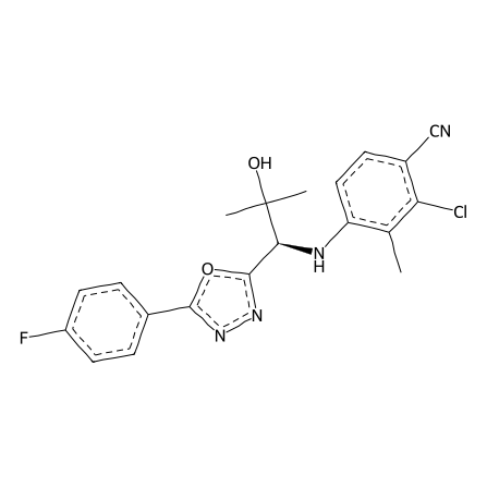 Cc1c(N[C@@H](c2nnc(-c3ccc(F)cc3)o2)C(C)(C)O)ccc(C#N)c1Cl